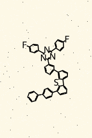 Fc1ccc(-c2nc(-c3ccc(F)cc3)nc(-c3cccc(-c4cccc5c4sc4c(-c6ccc(-c7ccccc7)cc6)cccc45)c3)n2)cc1